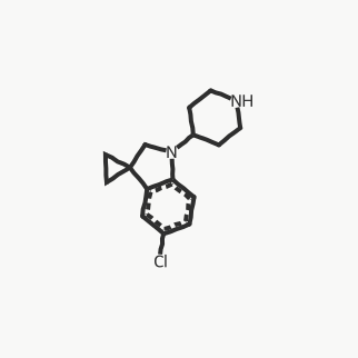 Clc1ccc2c(c1)C1(CC1)CN2C1CCNCC1